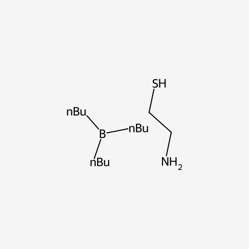 CCCCB(CCCC)CCCC.NCCS